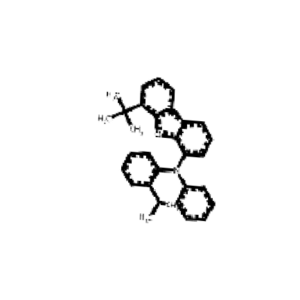 CC(C)c1ccccc1N(c1ccccc1)c1cccc2c1oc1c(C(C)(C)C)cccc12